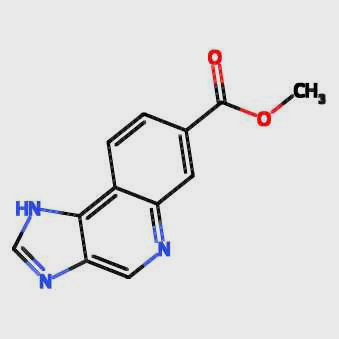 COC(=O)c1ccc2c(c1)ncc1nc[nH]c12